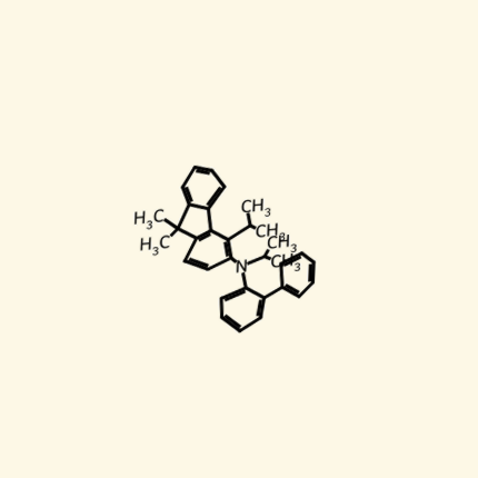 CC(C)c1c(N(c2ccccc2-c2ccccc2)C(C)C)ccc2c1-c1ccccc1C2(C)C